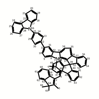 CC1=C(/C=C\C(C)n2c3ccc(-c4ccc(-n5c6ccccc6c6ccccc65)cc4)cc3c3ccc4c(c32)C2(c3ccccc3-c3ccccc32)c2ccccc2-4)c2ccccc2C1(C)C